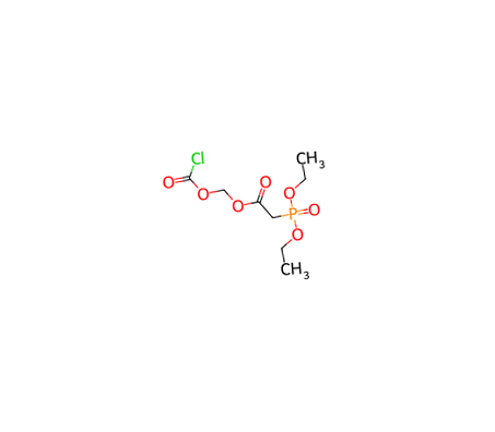 CCOP(=O)(CC(=O)OCOC(=O)Cl)OCC